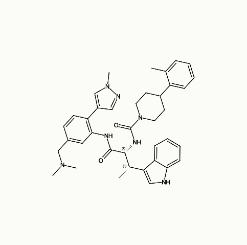 Cc1ccccc1C1CCN(C(=O)N[C@@H](C(=O)Nc2cc(CN(C)C)ccc2-c2cnn(C)c2)[C@@H](C)c2c[nH]c3ccccc23)CC1